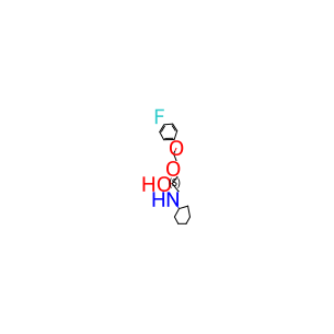 O[C@@H](CNC1CCCCC1)COCCOc1ccc(F)cc1